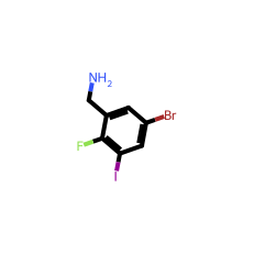 NCc1cc(Br)cc(I)c1F